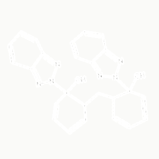 OC1(n2nc3ccccc3n2)C=CC=CC1CC1C=CC=CC1(O)n1nc2ccccc2n1